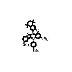 CC(C)(C)c1ccc(N2c3cc(C(C)(C)C)cc4c3B(c3cc5c(cc3O4)C(C)(C)CCC5(C)C)c3sc4ccc(C(C)(C)C)cc4c32)cc1